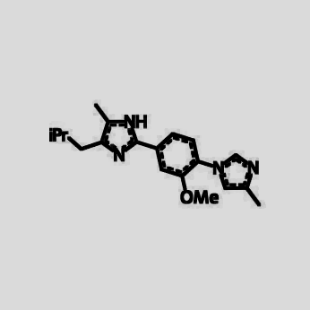 COc1cc(-c2nc(CC(C)C)c(C)[nH]2)ccc1-n1cnc(C)c1